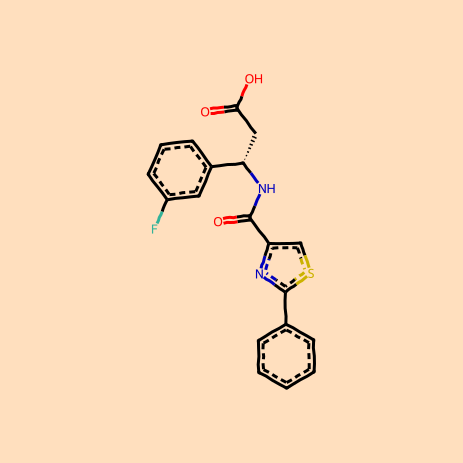 O=C(O)C[C@H](NC(=O)c1csc(-c2ccccc2)n1)c1cccc(F)c1